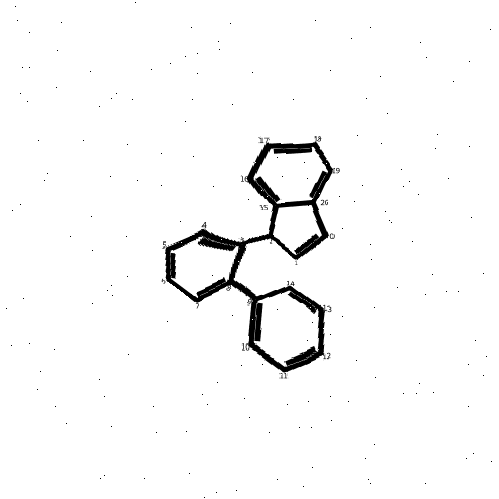 C1=CC(c2ccccc2-c2ccccc2)c2ccccc21